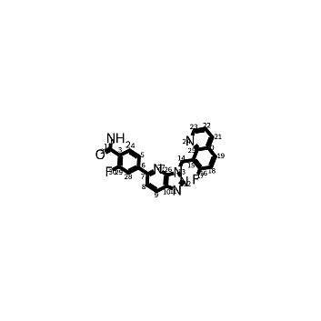 NC(=O)c1ccc(-c2ccc3nnn(Cc4c(F)ccc5cccnc45)c3n2)cc1F